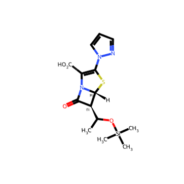 CC(O[Si](C)(C)C)[C@H]1C(=O)N2C(C(=O)O)=C(n3cccn3)S[C@H]12